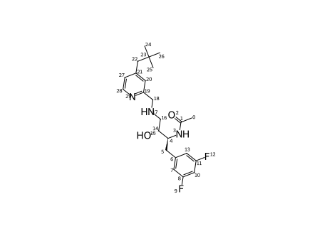 CC(=O)N[C@@H](Cc1cc(F)cc(F)c1)[C@H](O)CNCc1cc(CC(C)(C)C)ccn1